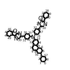 c1ccc(-c2ccc3c(ccc4cc(N(c5ccc(-c6cnc7c(n6)oc6ccccc67)cc5)c5ccc(-c6cnc7c(n6)oc6ccccc67)cc5)ccc43)c2)cc1